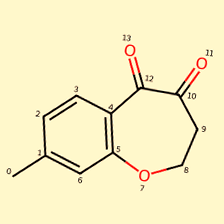 Cc1ccc2c(c1)OCCC(=O)C2=O